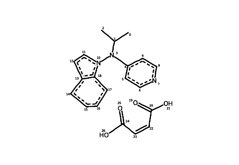 CC(C)N(c1ccncc1)n1ccc2ccccc21.O=C(O)/C=C\C(=O)O